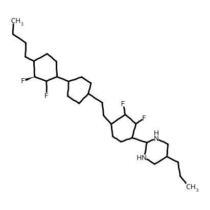 CCCCC1CCC(C2CCC(CCC3CCC(C4NCC(CCC)CN4)C(F)C3F)CC2)C(F)[C@H]1F